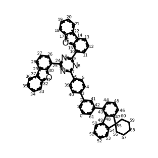 c1cc(-c2ccc(-c3nc(-c4cccc5c4oc4ccccc45)nc(-c4cccc5c4oc4ccccc45)n3)cc2)cc(-c2cccc3c2-c2ccccc2C32CCCCC2)c1